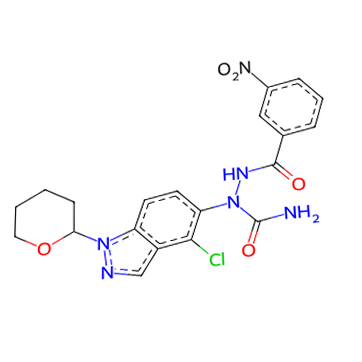 NC(=O)N(NC(=O)c1cccc([N+](=O)[O-])c1)c1ccc2c(cnn2C2CCCCO2)c1Cl